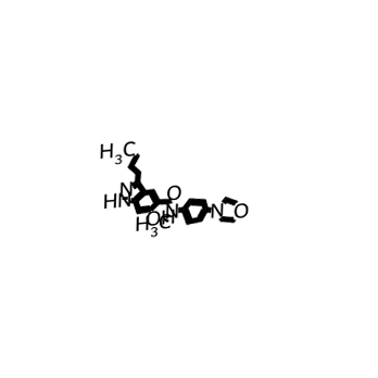 CCCCc1n[nH]c2cc(O)c(C(=O)N(C)c3ccc(N4CCOCC4)cc3)cc12